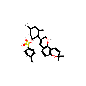 CCC1CC(C)C(C2=Cc3ccc4c(c3OC2)C=CC(C)(C)O4)C(OS(=O)(=O)c2ccc(C)cc2)C1